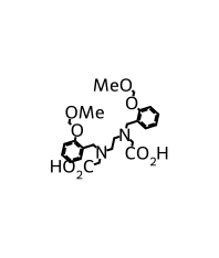 COCOc1ccccc1CN(CCN(CC(=O)O)Cc1ccccc1OCOC)CC(=O)O